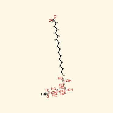 CCCCCCCCCCCCCCCCCC(=O)[O-].OB(O)O.OB(O)O.OB(O)O.[Ca+2].[Na+].[O-]B([O-])O